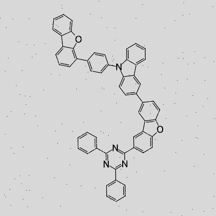 c1ccc(-c2nc(-c3ccccc3)nc(-c3ccc4oc5ccc(-c6ccc7c(c6)c6ccccc6n7-c6ccc(-c7cccc8c7oc7ccccc78)cc6)cc5c4c3)n2)cc1